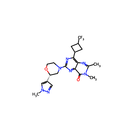 Cc1nc2c(C3CC(C(F)(F)F)C3)nc(N3CCO[C@@H](c4cnn(C)c4)C3)nc2c(=O)n1C